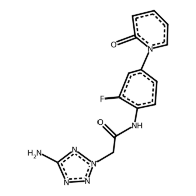 Nc1nnn(CC(=O)Nc2ccc(-n3ccccc3=O)cc2F)n1